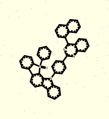 O=P1(c2ccccc2)c2ccccc2-c2ccc3c4ccccc4n(-c4ccc(-c5nc(-c6cccc7ccccc67)c6ccccc6n5)cc4)c3c21